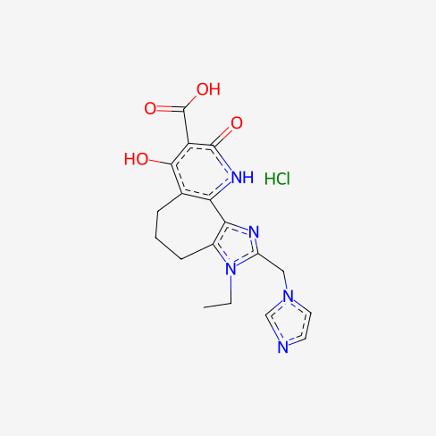 CCn1c(Cn2ccnc2)nc2c1CCCc1c-2[nH]c(=O)c(C(=O)O)c1O.Cl